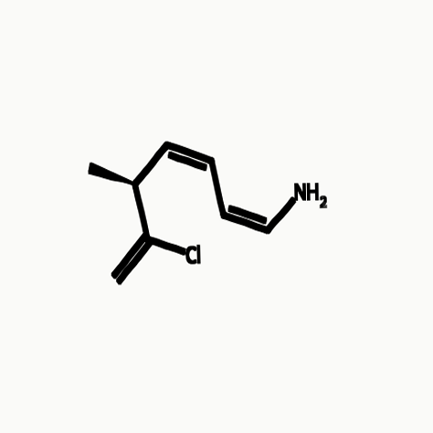 C=C(Cl)[C@@H](C)/C=C\C=C/N